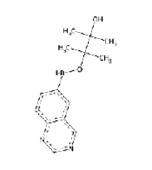 CC(C)(O)C(C)(C)OBc1ccc2ncncc2c1